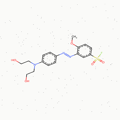 COc1ccc(S(=O)(=O)F)cc1N=Nc1ccc(N(CCO)CCO)cc1